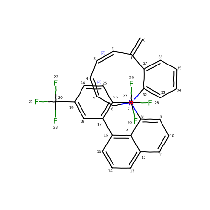 C=C1/C=C\C=C/CN(c2cccc3cccc(-c4cc(C(F)(F)F)ccc4C(F)(F)F)c23)c2ccccc21